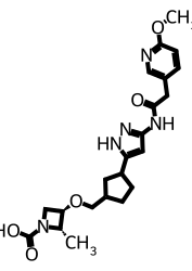 COc1ccc(CC(=O)Nc2cc(C3CCC(CO[C@@H]4CN(C(=O)O)[C@H]4C)C3)[nH]n2)cn1